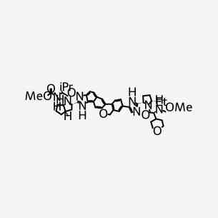 CC[C@H]1CC[C@@H](c2ncc(-c3ccc4c(c3)COc3cc5c(ccc6nc([C@@H]7C[C@@H]8CCC[C@@H]8N7C(=O)[C@@H](NC(=O)OC)C(C)C)[nH]c65)cc3-4)[nH]2)N1C(=O)[C@@H](NCOC)C1CCOCC1